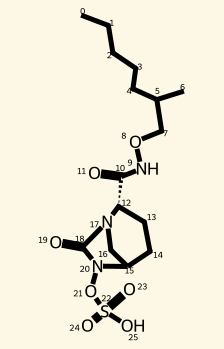 CCCCCC(C)CONC(=O)[C@@H]1CCC2CN1C(=O)N2OS(=O)(=O)O